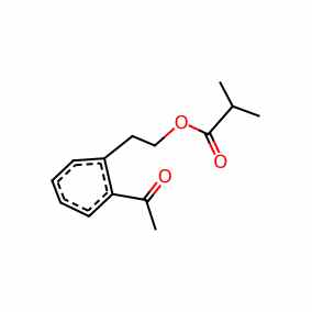 CC(=O)c1ccccc1CCOC(=O)C(C)C